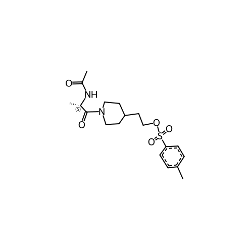 CC(=O)N[C@@H](C)C(=O)N1CCC(CCOS(=O)(=O)c2ccc(C)cc2)CC1